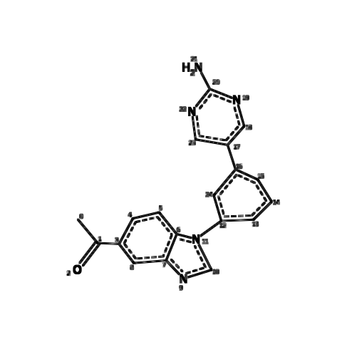 CC(=O)c1ccc2c(c1)ncn2-c1cccc(-c2cnc(N)nc2)c1